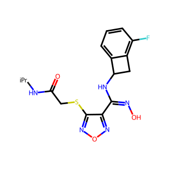 CC(C)NC(=O)CSc1nonc1/C(=N\O)NC1Cc2c(F)cccc21